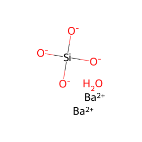 O.[Ba+2].[Ba+2].[O-][Si]([O-])([O-])[O-]